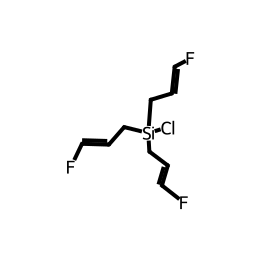 FC=CC[Si](Cl)(CC=CF)CC=CF